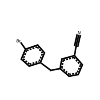 N#Cc1cccc([CH]c2ccc(Br)cc2)c1